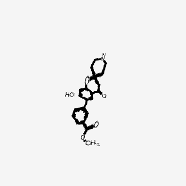 COC(=O)c1cccc(-c2ccc3c(c2)C(=O)CC2(CCNCC2)O3)c1.Cl